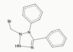 BrCN1NN=C(c2ccccc2)N1c1ccccc1